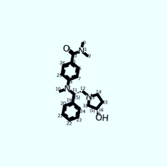 CN(C)C(=O)c1ccc(N(C)[C@H](CN2CC[C@H](O)C2)c2ccccc2)cc1